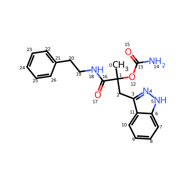 CC(Cc1n[nH]c2ccccc12)(OC(N)=O)C(=O)NCCc1ccccc1